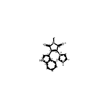 CN1C(=O)C(c2c[nH]c3ccccc23)=C(n2ccnc2)C1=O